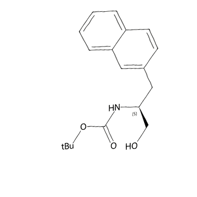 CC(C)(C)OC(=O)N[C@H](CO)Cc1ccc2ccccc2c1